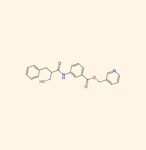 O=C(OCc1cccnc1)c1cccc(NC(=O)C(CS)Cc2ccccc2)c1